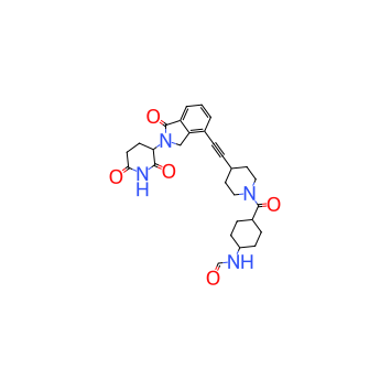 O=CNC1CCC(C(=O)N2CCC(C#Cc3cccc4c3CN(C3CCC(=O)NC3=O)C4=O)CC2)CC1